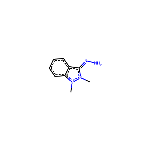 Cn1c(=NN)c2ccccc2n1C